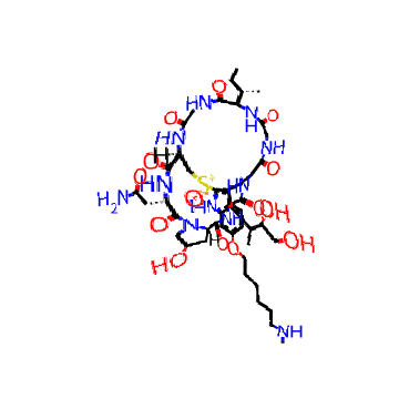 CC[C@H](C)C1NC(=O)CNC(=O)C2Cc3c([nH]c4cc(OCCCCCCNC)ccc34)[S@+]([O-])C[C@H](NC(=O)CNC1=O)C(=O)N[C@@H](CC(N)=O)C(=O)N1C[C@H](O)C[C@H]1C(=O)NC(C(C)[C@@H](O)CO)C(=O)N2